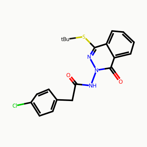 CC(C)(C)Sc1nn(NC(=O)Cc2ccc(Cl)cc2)c(=O)c2ccccc12